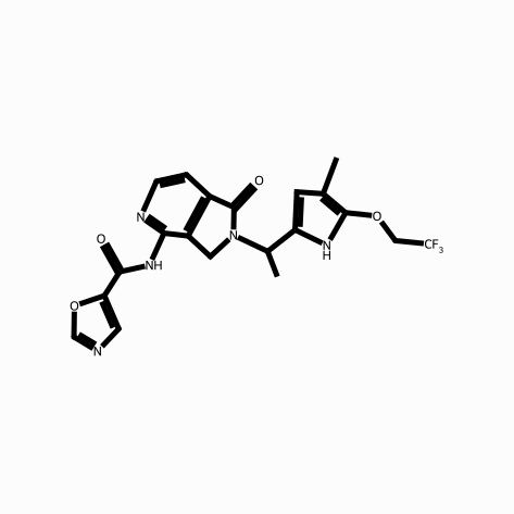 Cc1cc(C(C)N2Cc3c(ccnc3NC(=O)c3cnco3)C2=O)[nH]c1OCC(F)(F)F